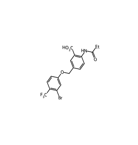 CCC(=O)Nc1ccc(COc2ccc(C(F)(F)F)c(Br)c2)cc1C(=O)O